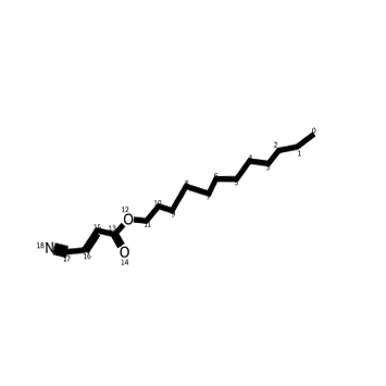 CCCCCCCCCCCCOC(=O)C=CC#N